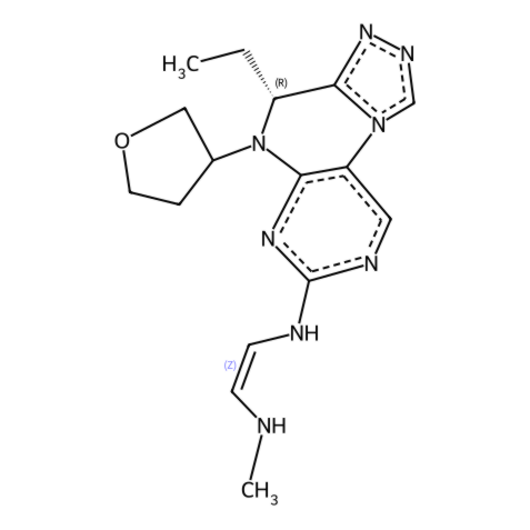 CC[C@@H]1c2nncn2-c2cnc(N/C=C\NC)nc2N1C1CCOC1